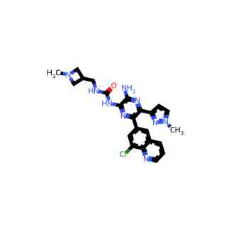 CN1CC(CNC(=O)Nc2nc(-c3cc(Cl)c4ncccc4c3)c(-c3ccn(C)n3)nc2N)C1